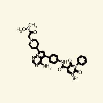 CC(C)n1cc(C(=O)Nc2ccc(-c3cc(C4CCN(CC(=O)N(C)C)CC4)n4ncnc(N)c34)cc2)c(=O)n(-c2ccccc2)c1=O